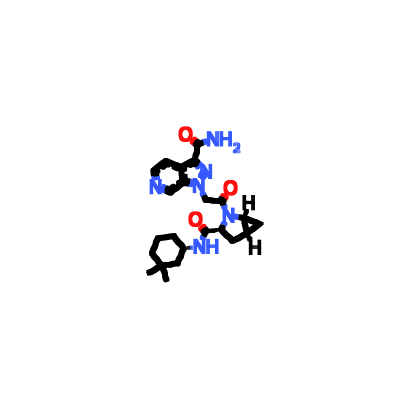 CC1(C)CCC[C@H](NC(=O)[C@@H]2C[C@H]3C[C@H]3N2C(=O)Cn2nc(C(N)=O)c3ccncc32)C1